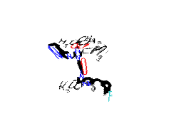 C[C@@H]1CN(CC(=O)N2CC(C)(C)c3ncc(Cc4ccc(F)cc4)cc32)[C@@H](CN2Cc3cccnc3C2)CN1C(=O)OC(C)(C)C